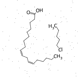 CCCCC/C=C\C/C=C\CCCCCCCC(=O)O.CCCCCCl